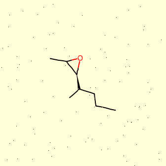 CCCC(C)[C@@H]1OC1C